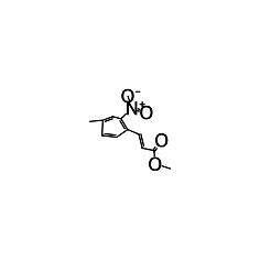 COC(=O)/C=C/c1ccc(C)cc1[N+](=O)[O-]